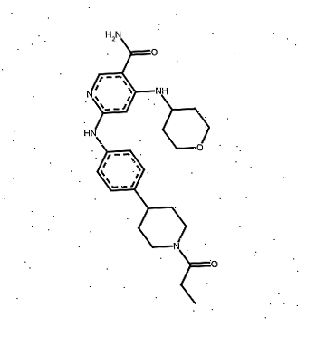 CCC(=O)N1CCC(c2ccc(Nc3cc(NC4CCOCC4)c(C(N)=O)cn3)cc2)CC1